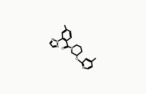 Cc1ccnc(O[C@@H]2CCCN(C(=O)c3ccc(C)cc3-n3nccn3)C2)c1